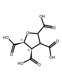 O=C(O)C1O[C@H](C(=O)O)[C@H](C(=O)O)C1C(=O)O